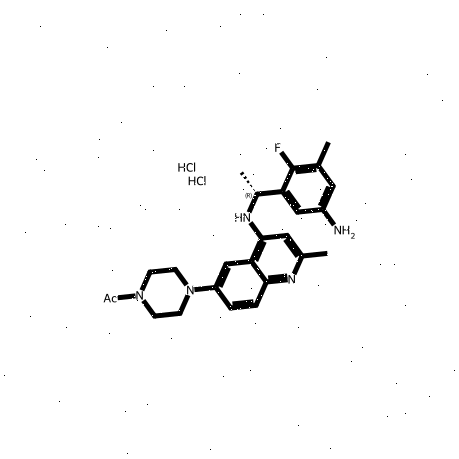 CC(=O)N1CCN(c2ccc3nc(C)cc(N[C@H](C)c4cc(N)cc(C)c4F)c3c2)CC1.Cl.Cl